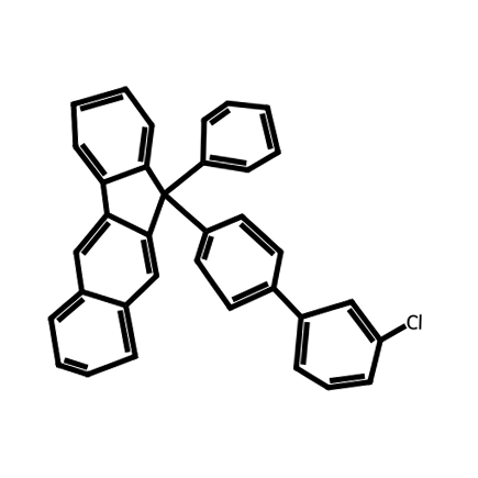 Clc1cccc(-c2ccc(C3(c4ccccc4)c4ccccc4-c4cc5ccccc5cc43)cc2)c1